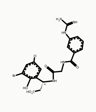 N=C(N)Nc1cccc(C(=O)NCC(=O)N[C@H](CC(=O)O)c2cc(Cl)cc(Br)c2O)c1